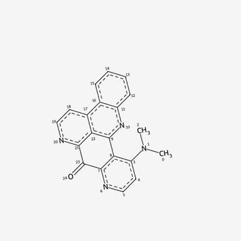 CN(C)c1ccnc2c1-c1nc3ccccc3c3ccnc(c13)C2=O